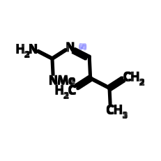 C=C(C)C(=C)/C=N\C(N)NC